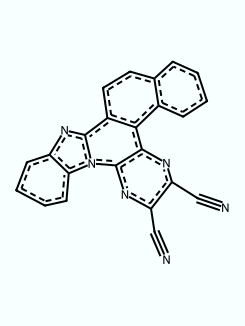 N#Cc1nc2c3c4ccccc4ccc3c3nc4ccccc4n3c2nc1C#N